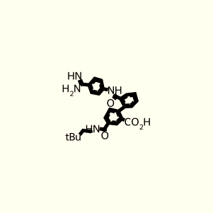 CC(C)(C)CCNC(=O)c1ccc(-c2ccccc2C(=O)Nc2ccc(C(=N)N)cc2)c(C(=O)O)c1